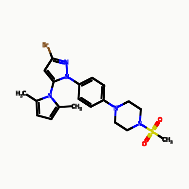 Cc1ccc(C)n1-c1cc(Br)nn1-c1ccc(N2CCN(S(C)(=O)=O)CC2)cc1